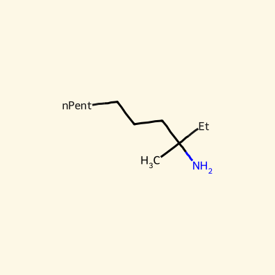 [CH2]CC(C)(N)CCCCCCCC